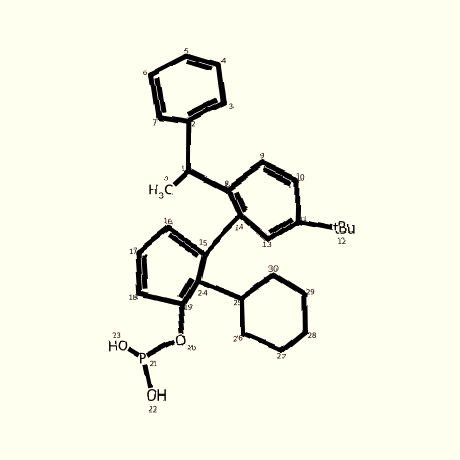 CC(c1ccccc1)c1ccc(C(C)(C)C)cc1-c1cccc(OP(O)O)c1C1CCCCC1